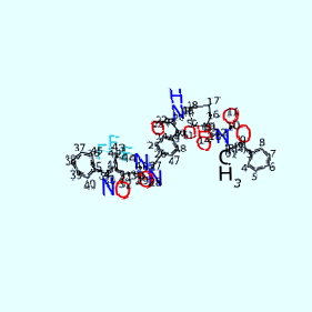 C[C@@H]1[C@H](c2ccccc2)OC(=O)N1C(=O)[C@H]1CCC[C@@H](N[C@@H]2COc3cc(-c4noc(-c5onc(-c6ccccc6)c5C(F)(F)F)n4)ccc3[C@H]2O)C1